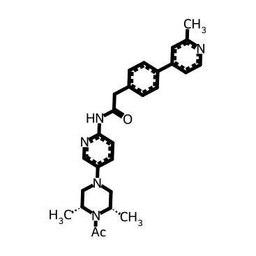 CC(=O)N1[C@H](C)CN(c2ccc(NC(=O)Cc3ccc(-c4ccnc(C)c4)cc3)nc2)C[C@@H]1C